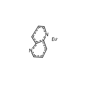 [Eu].c1cnc2cccnc2c1